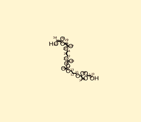 C[C@H](O)C(=O)O[C@@H](C)C(=O)OCCCOC(=O)OOC(=O)OCCCOC(=O)[C@@H](C)OC(=O)[C@@H](C)O